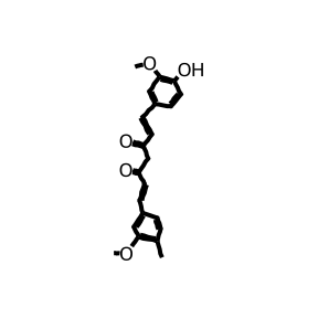 COc1cc(C=CC(=O)CC(=O)C=Cc2ccc(O)c(OC)c2)ccc1C